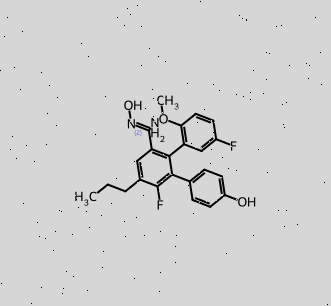 CCCc1cc(/C(N)=N/O)c(-c2cc(F)ccc2OC)c(-c2ccc(O)cc2)c1F